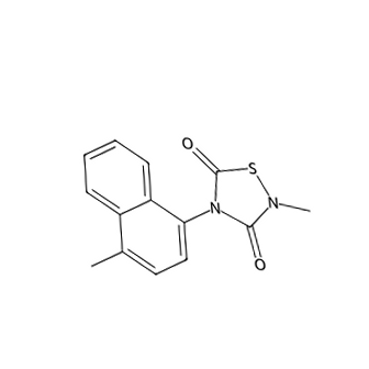 Cc1ccc(-n2c(=O)sn(C)c2=O)c2ccccc12